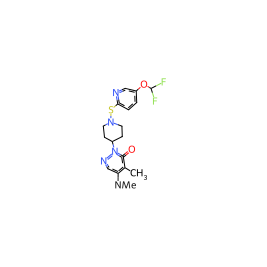 CNc1cnn(C2CCN(Sc3ccc(OC(F)F)cn3)CC2)c(=O)c1C